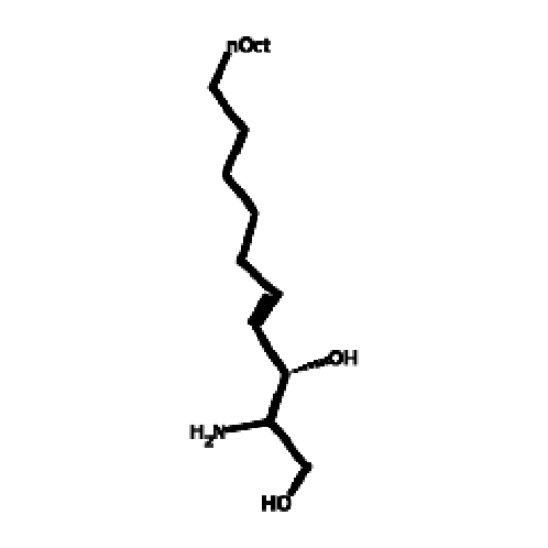 CCCCCCCCCCCCC/C=C/[C@H](O)C(N)CO